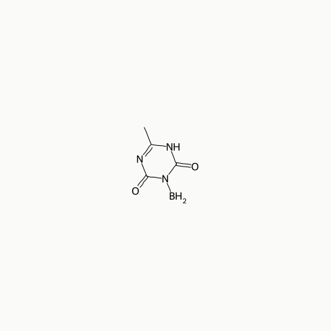 Bn1c(=O)nc(C)[nH]c1=O